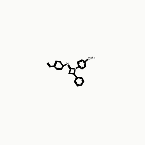 C=CC1=CCC(/N=C2\CC(c3ccccc3)N2c2ccc(OC)cc2)C=C1